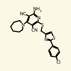 N#Cc1c(N)nc(SCc2csc(-c3ccc(Cl)cc3)n2)c(C#N)c1N1CCCCCC1